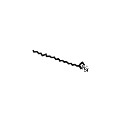 CCCCCCCCCCCCCCCCCCCCCCc1ccc[n+](Br)c1